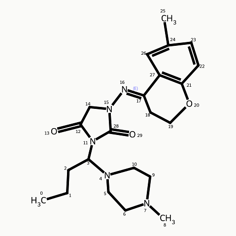 CCCC(N1CCN(C)CC1)N1C(=O)CN(/N=C2\CCOc3ccc(C)cc32)C1=O